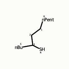 CCCCCCCC(S)CCCC